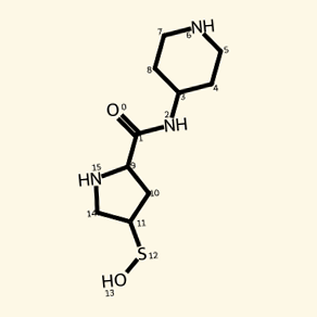 O=C(NC1CCNCC1)C1CC(SO)CN1